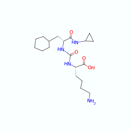 NCCCC[C@H](NC(=O)N[C@H](CC1CCCCC1)C(=O)NC1CC1)C(=O)O